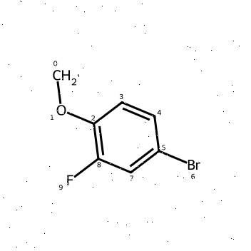 [CH2]Oc1ccc(Br)cc1F